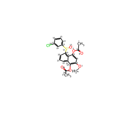 COc1cc(OC(C)=O)c2c([S+]([O-])c3cccc(Cl)c3)cccc2c1OC(C)=O